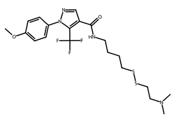 COc1ccc(-n2ncc(C(=O)NCCCCSSCCN(C)C)c2C(F)(F)F)cc1